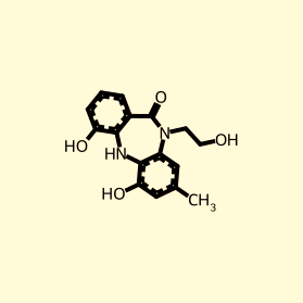 Cc1cc(O)c2c(c1)N(CCO)C(=O)c1cccc(O)c1N2